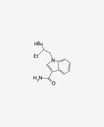 CCCCC(CC)Cn1cc(C(N)=O)c2ccccc21